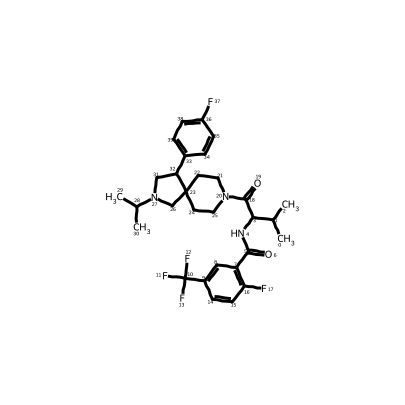 CC(C)C(NC(=O)c1cc(C(F)(F)F)ccc1F)C(=O)N1CCC2(CC1)CN(C(C)C)CC2c1ccc(F)cc1